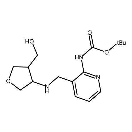 CC(C)(C)OC(=O)Nc1ncccc1CNC1COCC1CO